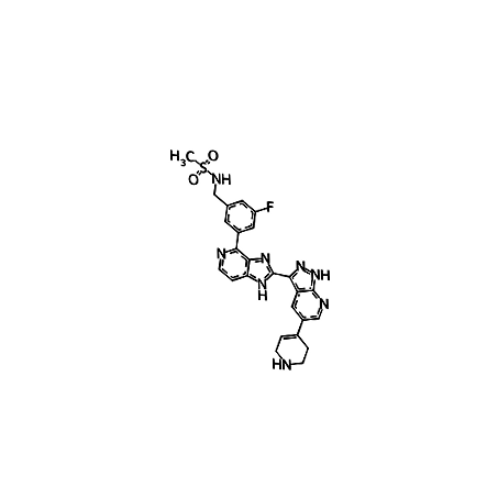 CS(=O)(=O)NCc1cc(F)cc(-c2nccc3[nH]c(-c4n[nH]c5ncc(C6=CCNCC6)cc45)nc23)c1